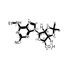 CCNc1nc(C#N)nc2c1ncn2[C@@H]1O[C@H](C(=O)O)[C@H]2OC(C)(C)O[C@H]21